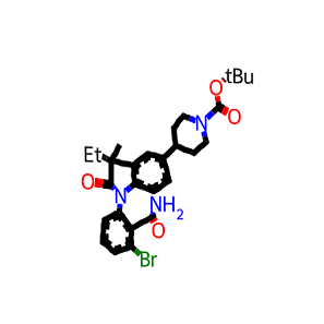 CCC1(C)C(=O)N(c2cccc(Br)c2C(N)=O)c2ccc(C3CCN(C(=O)OC(C)(C)C)CC3)cc21